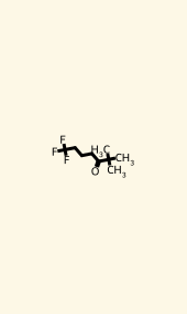 CC(C)(C)C(=O)CCCC(F)(F)F